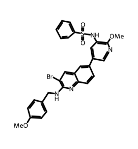 COc1ccc(CNc2nc3ccc(-c4cnc(OC)c(NS(=O)(=O)c5ccccc5)c4)cc3cc2Br)cc1